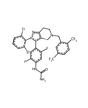 CCc1cccc(CC)c1-n1nc2c(c1-c1cc(F)c(NC(N)=O)cc1F)CN(Cc1cc(C(F)(F)F)ccc1C(F)(F)F)CC2